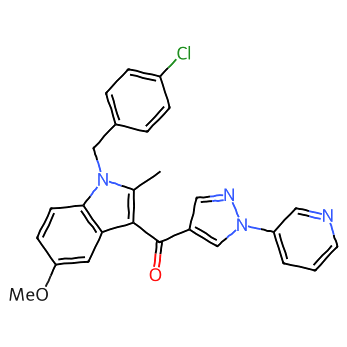 COc1ccc2c(c1)c(C(=O)c1cnn(-c3cccnc3)c1)c(C)n2Cc1ccc(Cl)cc1